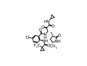 C[C@@H]1C[C@@H](C[C@H](NC(=O)c2cc(Cl)ccc2NC(=O)C2(C(F)(F)F)CC2)C(=O)C(=O)NC2CC2)C(=O)N1